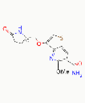 COc1nc2c(OC[C@@H]3CCC(=O)N3)csc2cc1C(N)=O